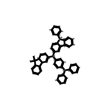 CC1(C)c2ccccc2C2C=C(N(c3ccc(N(c4ccccc4)c4ccccc4)cc3)c3ccc4c(c3)c3ccccc3n4-c3ccccc3)C=CC21